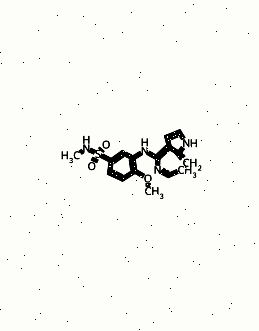 C=c1[nH]cc/c1=C(/N=C\C)Nc1cc(S(=O)(=O)NC)ccc1OC